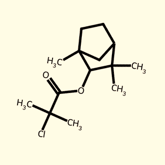 CC(C)(Cl)C(=O)OC1C2(C)CCC(C2)C1(C)C